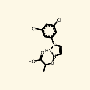 CC(ON1C=CN(c2cc(Cl)cc(Cl)c2)N1)C(=O)O